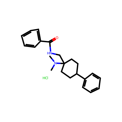 CN(C)C1(CNC(=O)c2ccccc2)CCC(c2ccccc2)CC1.Cl